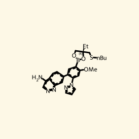 CCCCSC[C@@]1(CC)COB(c2cc(-c3ccc4c(N)cnnc4c3)c(-n3cccn3)cc2OC)O1